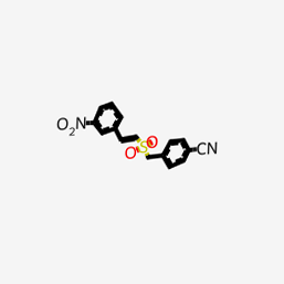 N#Cc1ccc(CS(=O)(=O)/C=C/c2cccc([N+](=O)[O-])c2)cc1